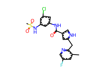 Cc1cc(F)cnc1Cc1cc(C(=O)Nc2cc(Cl)cc(NS(C)(=O)=O)c2)c[nH]1